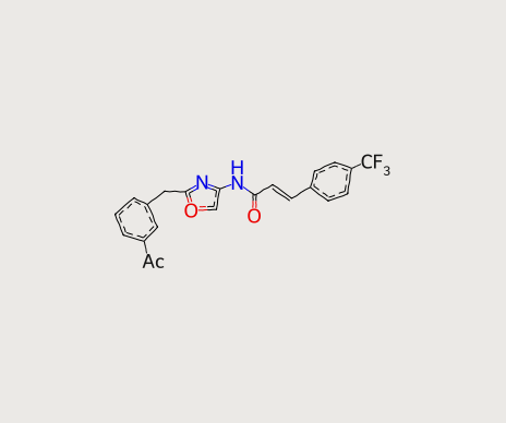 CC(=O)c1cccc(Cc2nc(NC(=O)/C=C/c3ccc(C(F)(F)F)cc3)co2)c1